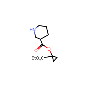 CCOC(=O)C1(OC(=O)C2CCCNC2)CC1